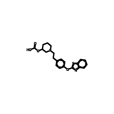 O=C(O)OC1CCCN(CCc2ccc(Oc3nc4ccccc4s3)cc2)C1